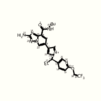 CCC(C)NC(=O)c1cc(-c2cnn(C(CC)c3ccc(OCC(F)(F)F)nc3)c2)cn2nc(N)nc12